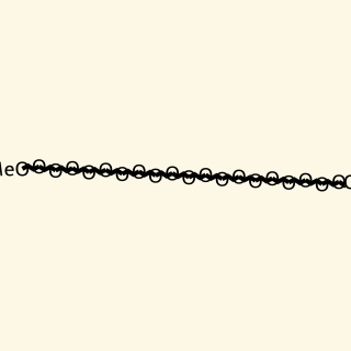 C=COCCOCCOCCOCCOCCOCCOCCOCCOCCOCCOCCOCCOCCOCCOCCOCCOCCOCCOCCOC